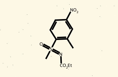 CCOC(=O)N=S(C)(=O)c1ccc([N+](=O)[O-])cc1C